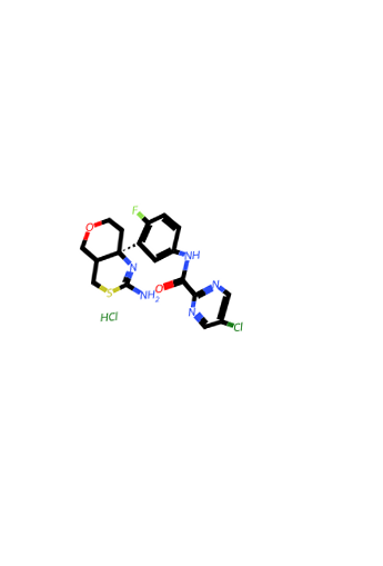 Cl.NC1=N[C@]2(c3cc(NC(=O)c4ncc(Cl)cn4)ccc3F)CCOCC2CS1